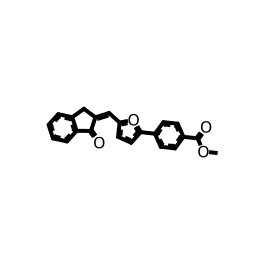 COC(=O)c1ccc(-c2ccc(C=C3Cc4ccccc4C3=O)o2)cc1